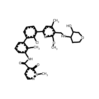 COc1nc(-c2cccc(-c3cccc(NC(=O)c4ccnn(C)c4=O)c3C)c2Cl)cc(C)c1CNC1CCOCC1O